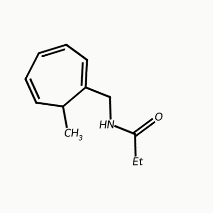 CCC(=O)NCC1=CC=CC=CC1C